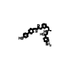 C[C@H](Cc1cccc(CC(=O)NCc2ccc(-c3ccc(O)cc3)cc2)c1)NC[C@H](O)c1ccc(N)nc1